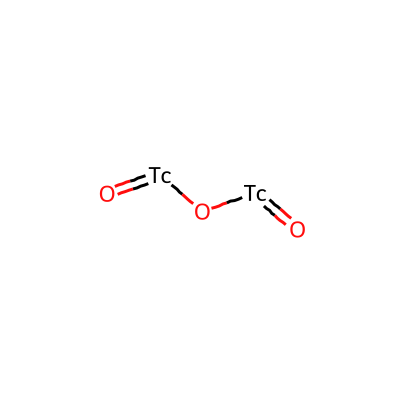 [O]=[Tc][O][Tc]=[O]